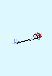 OC1C2OCCCOC(C(CSCCCCCCCCCNCl)O2)C1O